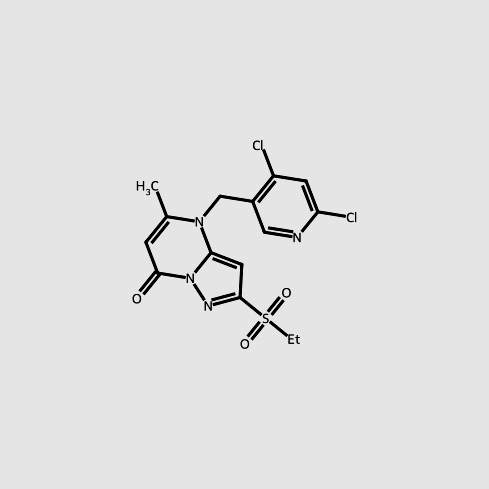 CCS(=O)(=O)c1cc2n(Cc3cnc(Cl)cc3Cl)c(C)cc(=O)n2n1